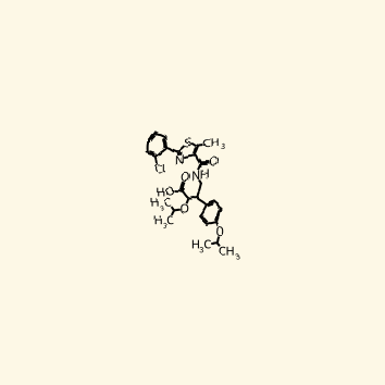 Cc1sc(-c2ccccc2Cl)nc1C(=O)NCC(c1ccc(OC(C)C)cc1)C(OC(C)C)C(=O)O